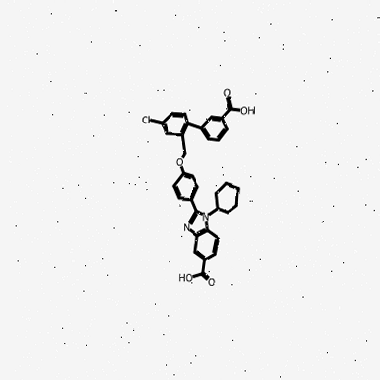 O=C(O)c1cccc(-c2ccc(Cl)cc2COc2ccc(-c3nc4cc(C(=O)O)ccc4n3C3CCCCC3)cc2)c1